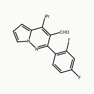 CC(C)c1c(C=O)c(-c2ccc(F)cc2F)nn2cccc12